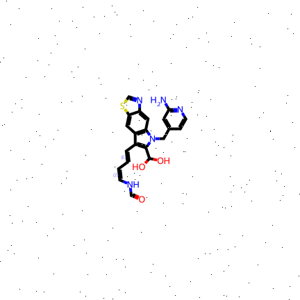 Nc1cc(Cn2c(C(O)O)c(/C=C/C=C\NC=O)c3cc4scnc4cc32)ccn1